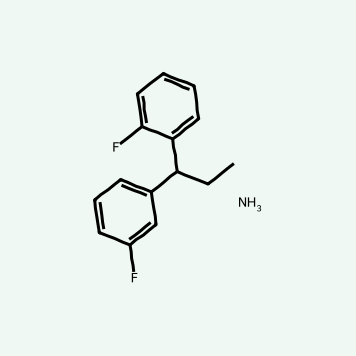 CCC(c1cccc(F)c1)c1ccccc1F.N